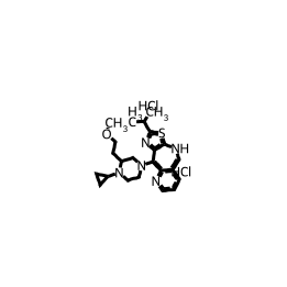 COCCC1CN(C2=c3ncccc3=CNc3sc(C(C)C)nc32)CCN1C1CC1.Cl.Cl